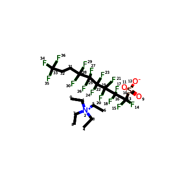 CC[N+](CC)(CC)CC.O=S(=O)([O-])C(F)(F)C(F)(F)C(F)(F)C(F)(F)C(F)(F)C(F)(F)CCC(F)(F)F